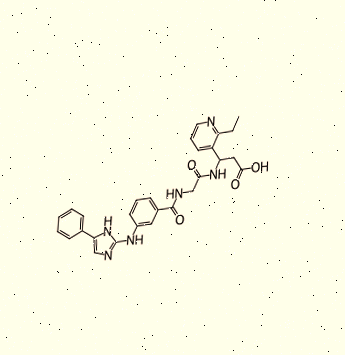 CCc1ncccc1C(CC(=O)O)NC(=O)CNC(=O)c1cccc(Nc2ncc(-c3ccccc3)[nH]2)c1